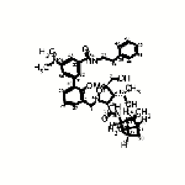 COc1c(CN2O[C@@H](CO)[C@H]([C@H](C)O)[C@H]2C(=O)N[C@H]2C[C@H]3C[C@@H]([C@@H]2C)C3(C)C)cccc1-c1cc(C(=O)NCCc2ccccc2)cc(N(C)C)c1